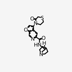 O=C(N[C@H]1CN2CCC1CC2)c1cc2c(N3CCSCC3=O)coc2cn1